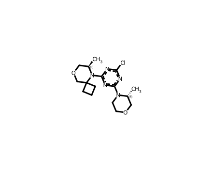 C[C@@H]1COCCN1c1nc(Cl)nc(N2[C@H](C)COCC23CCC3)n1